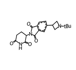 CC(C)(C)N1CC(c2ccc3c(c2)C(=O)N(C2CCC(=O)NC2=O)C3=O)C1